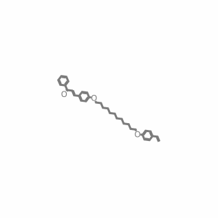 C=Cc1ccc(OCCCCCCCCCCCCOc2ccc(C=CC(=O)c3ccccc3)cc2)cc1